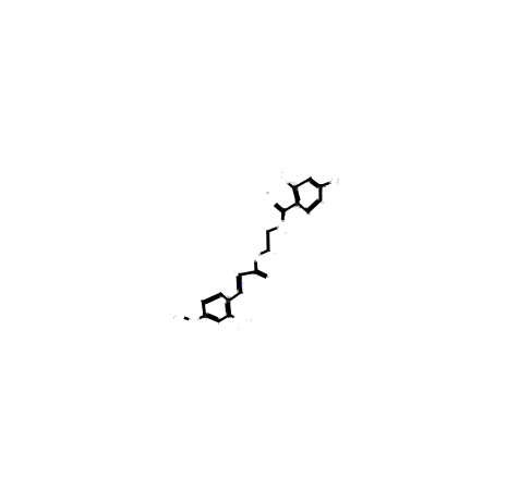 COc1cc(OC#N)ccc1/C=C/C(=O)OCCOC(=O)c1ccc(N)cc1N